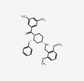 COc1cccc(OC)c1CN[C@H]1CCN(C(=O)c2cc(C)cc(C)c2)[C@@H](Cc2ccccc2)C1